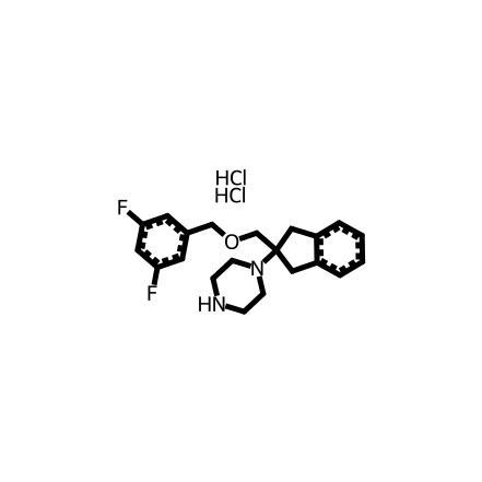 Cl.Cl.Fc1cc(F)cc(COCC2(N3CCNCC3)Cc3ccccc3C2)c1